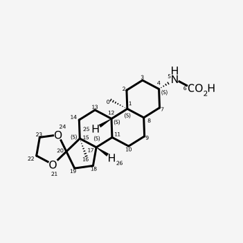 C[C@]12CC[C@H](NC(=O)O)CC1CCC1[C@@H]2CC[C@@]2(C)[C@H]1CCC21OCCO1